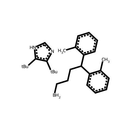 BCCCC(c1ccccc1C)c1ccccc1C.CC(C)(C)c1nc[nH]c1C(C)(C)C